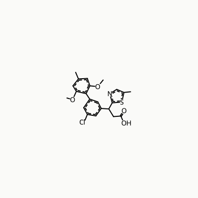 COc1cc(C)cc(OC)c1-c1cc(Cl)cc(C(CC(=O)O)c2ncc(C)s2)c1